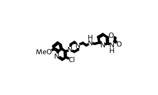 COc1cccc2c(N3CCN(CCNCc4ccc5c(n4)NC(=O)CO5)CC3)c(Cl)cnc12